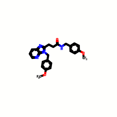 O=C(CCc1nc2cccnc2n1Cc1ccc(OC(F)(F)F)cc1)NCc1ccc(OC(F)(F)F)cc1